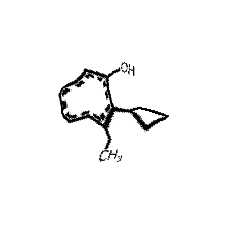 Cc1cccc(O)c1C1CC1